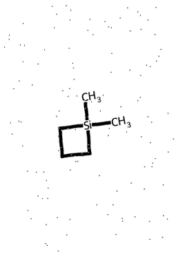 C[Si]1(C)CCC1